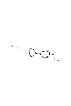 CCCCNCc1ccc(-c2ccc(CCCC)cc2)cc1